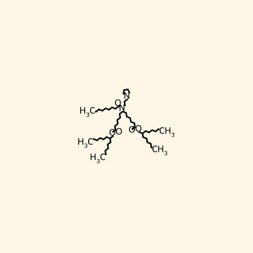 CCCCCCCCC(=O)N(CCCN1CCCC1)C(CCCCCC(=O)OCC(CCCCCC)CCCCCC)CCCCCC(=O)OCC(CCCCCC)CCCCCC